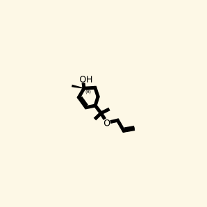 C=CCOC(C)(C)C1C=C[C@](C)(O)CC1